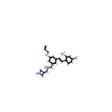 C=CCOc1cc(/C=C/c2ccc(Cl)cc2Br)cc(CNCC2CNC2)c1